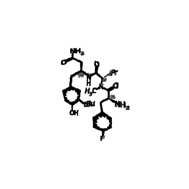 CC(C)[C@@H](C(=O)N[C@H](CC(N)=O)Cc1ccc(O)c(C(C)(C)C)c1)N(C)C(=O)[C@@H](N)Cc1ccc(F)cc1